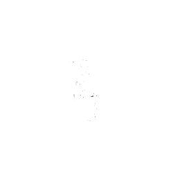 COc1cccc2[nH]c(C(=O)NC(CC3CC3)C(=O)NC(C#N)CC3C(=O)Nc4c(C)cccc43)cc12